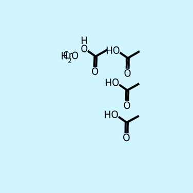 CC(=O)O.CC(=O)O.CC(=O)O.CC(=O)O.O.[Cr]